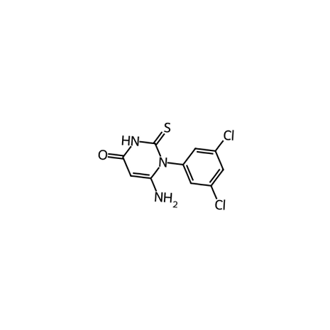 Nc1cc(=O)[nH]c(=S)n1-c1cc(Cl)cc(Cl)c1